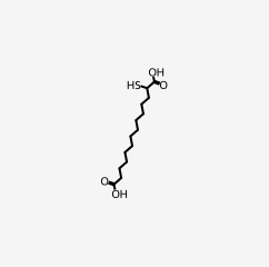 O=C(O)CCCCCCCCCCCC(S)C(=O)O